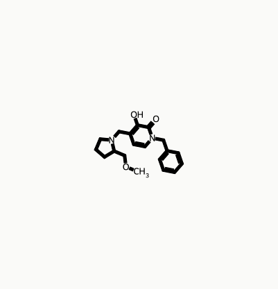 COCC1CCCN1Cc1ccn(Cc2ccccc2)c(=O)c1O